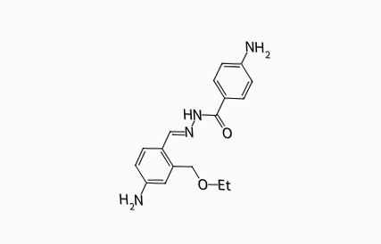 CCOCc1cc(N)ccc1/C=N/NC(=O)c1ccc(N)cc1